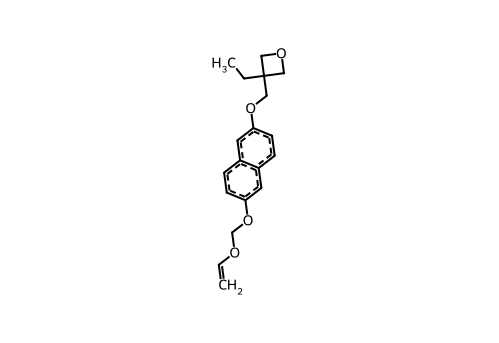 C=COCOc1ccc2cc(OCC3(CC)COC3)ccc2c1